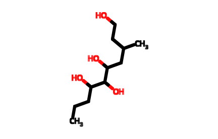 CCCC(O)C(O)C(O)CC(C)CCO